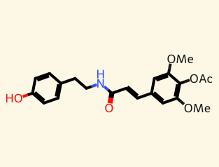 COc1cc(C=CC(=O)NCCc2ccc(O)cc2)cc(OC)c1OC(C)=O